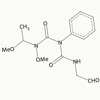 COC(C)N(OC)C(=O)N(C(=O)NC[C]=O)c1ccccc1